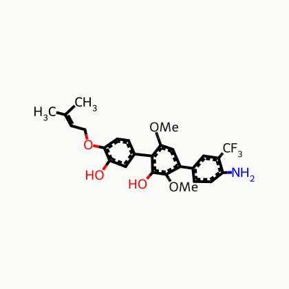 COc1cc(-c2ccc(N)c(C(F)(F)F)c2)c(OC)c(O)c1-c1ccc(OCC=C(C)C)c(O)c1